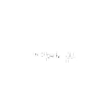 C[C@]12CCC(O)CC1CC[C@@H]1[C@@H]2CC[C@]2(C)[C@@H](CCNOCCCNC(=N)N)CC[C@@]12O